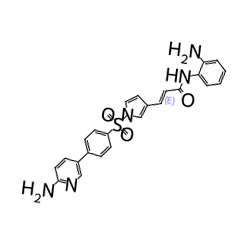 Nc1ccc(-c2ccc(S(=O)(=O)n3ccc(/C=C/C(=O)Nc4ccccc4N)c3)cc2)cn1